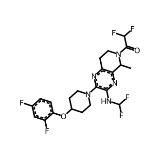 CC1c2nc(NC(F)F)c(N3CCC(Oc4ccc(F)cc4F)CC3)nc2CCN1C(=O)C(F)F